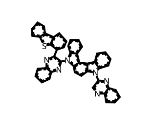 c1ccc2nc(-n3c4ccccc4c4c5c6ccccc6n(-c6nc7ccccc7nc6-c6cccc7c6sc6ccccc67)c5ccc43)cnc2c1